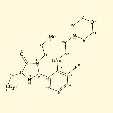 CC(C)(C)CCN1C(=O)C(CC(=O)O)NC1c1cccc(F)c1NCCN1CCOCC1